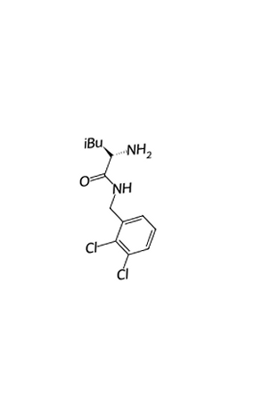 CC[C@H](C)[C@H](N)C(=O)NCc1cccc(Cl)c1Cl